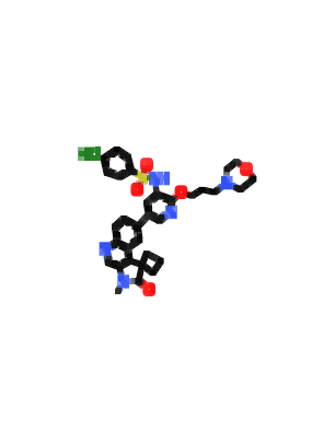 CN1C(=O)C2(CCC2)c2c1cnc1ccc(-c3cnc(OCCCN4CCOCC4)c(NS(=O)(=O)c4ccccc4)c3)cc21.Cl